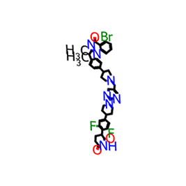 CC1(C)c2ccc(C3CCN(Cc4cnc(N5CCC(c6cc(F)c(C7CCC(=O)NC7=O)c(F)c6)CC5)nc4)CC3)cc2-n2c1nc(=O)c1c(Br)cccc12